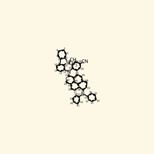 C[Si]1(C)c2ccccc2-c2cccc(N(c3ccc(C#N)cc3)c3ccc4ccc5c(N(c6ccccc6)c6ccccc6)ccc6ccc3c4c65)c21